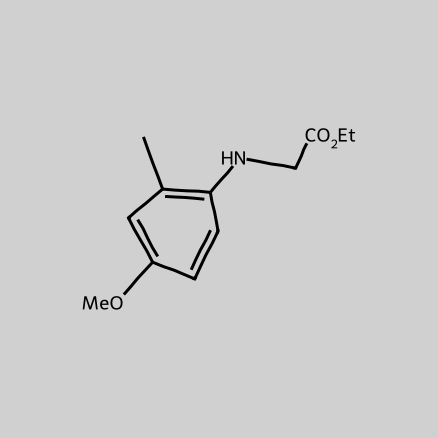 CCOC(=O)CNc1ccc(OC)cc1C